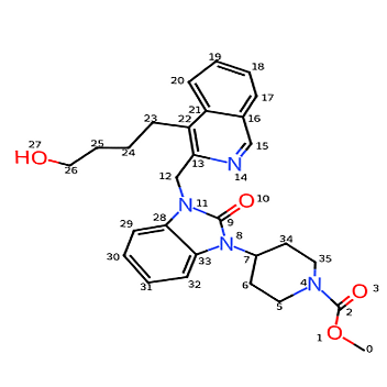 COC(=O)N1CCC(n2c(=O)n(Cc3ncc4ccccc4c3CCCCO)c3ccccc32)CC1